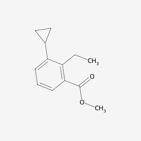 CCc1c(C(=O)OC)cccc1C1CC1